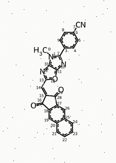 Cn1c(-c2ccc(C#N)cc2)nc2oc(C=C3C(=O)c4cc5ccccc5cc4C3=O)nc21